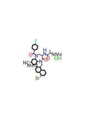 CNC(C)C(=O)NC1CN(C(=O)c2ccc(F)cc2)c2cc(C#N)ccc2N(Cc2c(OC)ccc3c(Br)cccc23)C1=O.Cl